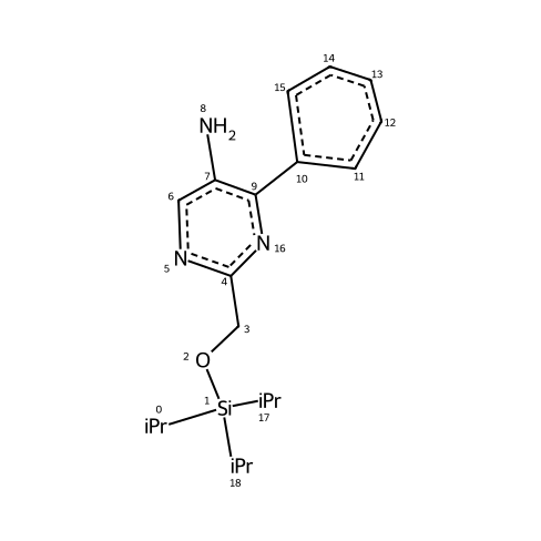 CC(C)[Si](OCc1ncc(N)c(-c2ccccc2)n1)(C(C)C)C(C)C